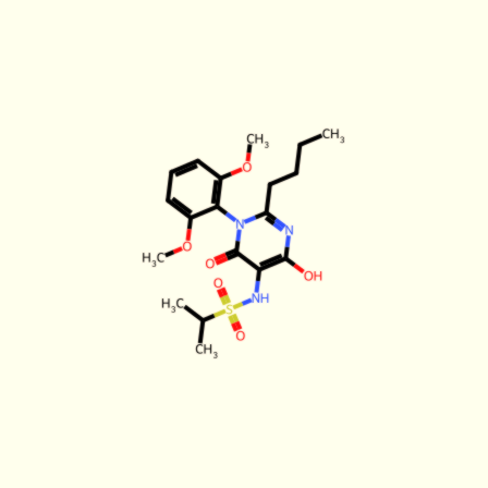 CCCCc1nc(O)c(NS(=O)(=O)C(C)C)c(=O)n1-c1c(OC)cccc1OC